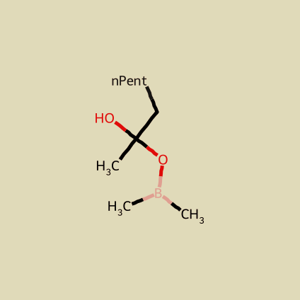 CCCCCCC(C)(O)OB(C)C